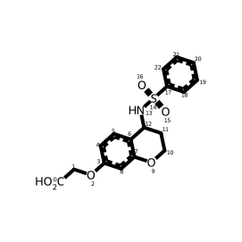 O=C(O)COc1ccc2c(c1)OCCC2NS(=O)(=O)c1ccccc1